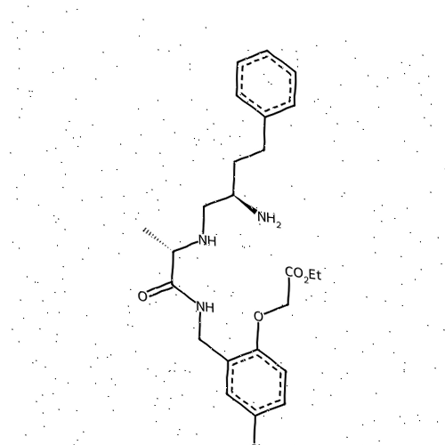 CCOC(=O)COc1ccc(Cl)cc1CNC(=O)[C@H](C)NC[C@H](N)CCc1ccccc1